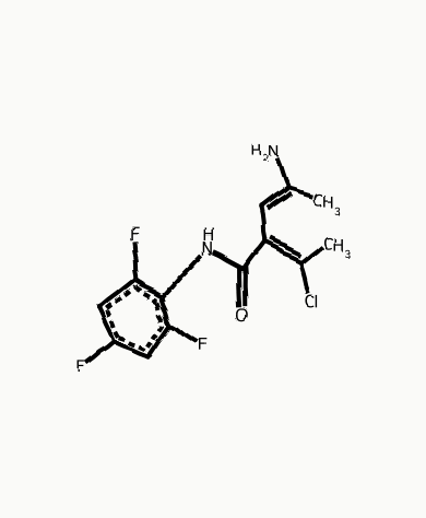 C/C(Cl)=C(\C=C(/C)N)C(=O)Nc1c(F)cc(F)cc1F